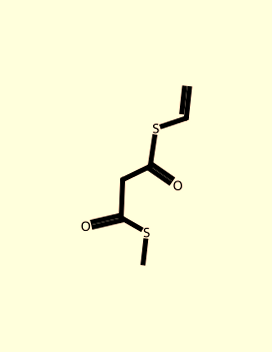 C=CSC(=O)CC(=O)SC